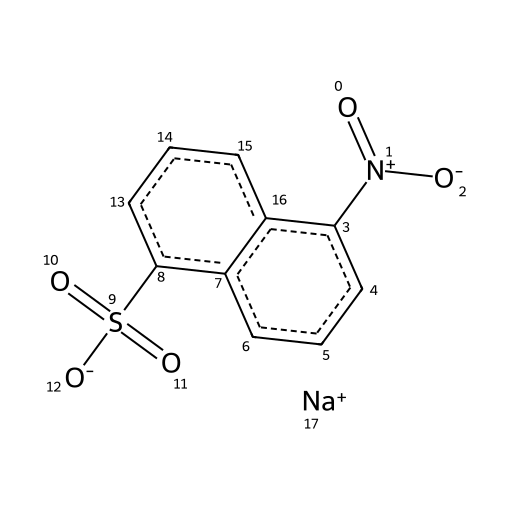 O=[N+]([O-])c1cccc2c(S(=O)(=O)[O-])cccc12.[Na+]